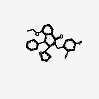 CCOc1cccc2c(=O)n(Cc3ccc(F)cc3F)c(-c3cccs3)c(-c3ccccc3)c12